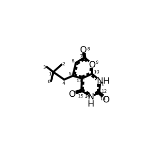 CC(C)(C)Cc1cc(=O)oc2[nH]c(=O)[nH]c(=O)c12